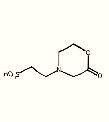 O=C1CN(CCS(=O)(=O)O)CCO1